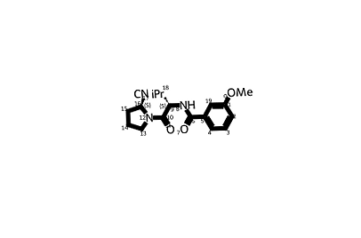 COc1cccc(C(=O)N[C@H](C(=O)N2CCC[C@H]2C#N)C(C)C)c1